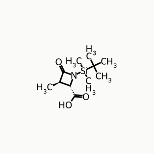 C[C@H]1C(=O)N([Si](C)(C)C(C)(C)C)[C@@H]1C(=O)O